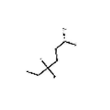 [CH2]C[C@H](F)CCC(F)(F)CF